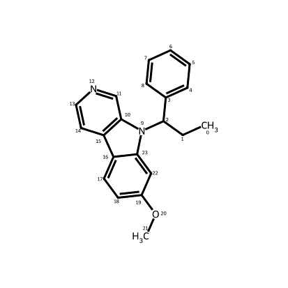 CCC(c1ccccc1)n1c2cnccc2c2ccc(OC)cc21